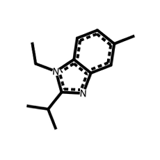 CCn1c(C(C)C)nc2cc(C)ccc21